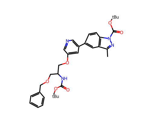 Cc1nn(C(=O)OC(C)(C)C)c2ccc(-c3cncc(OCC(COCc4ccccc4)NC(=O)OC(C)(C)C)c3)cc12